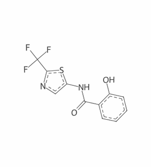 O=C(Nc1cnc(C(F)(F)F)s1)c1ccccc1O